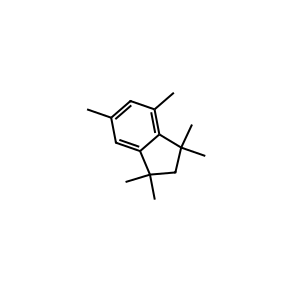 Cc1cc(C)c2c(c1)C(C)(C)CC2(C)C